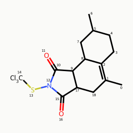 CC1=C2CCC(C)CC2C2C(=O)N(SC(Cl)(Cl)Cl)C(=O)C2C1